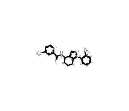 Cc1ccnc(C(=O)NC2CCCc3c2cnn3-c2ccccc2C)c1